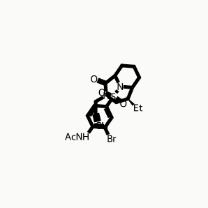 C#CCN1C[C@H](CC)C2CCCC(C1=O)N2S(=O)(=O)c1ccc(NC(C)=O)c(Br)c1